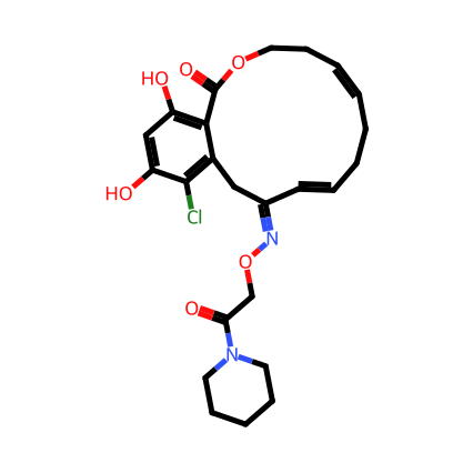 O=C1OCC/C=C\CC/C=C/C(=NOCC(=O)N2CCCCC2)Cc2c(Cl)c(O)cc(O)c21